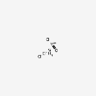 [Cl-].[Cl-].[Cl-].[O]=[V+3].[SiH4]